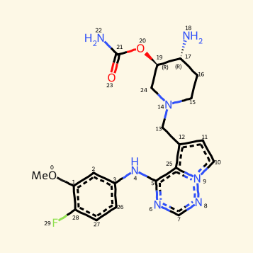 COc1cc(Nc2ncnn3ccc(CN4CC[C@@H](N)[C@H](OC(N)=O)C4)c23)ccc1F